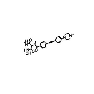 CNC(=O)C(C(=O)NO)N(C)C(=O)c1ccc(C#Cc2ccc(N3CCN(C)CC3)cc2)cc1